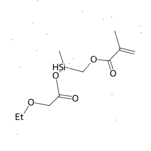 C=C(C)C(=O)OC[SiH](C)OC(=O)COCC